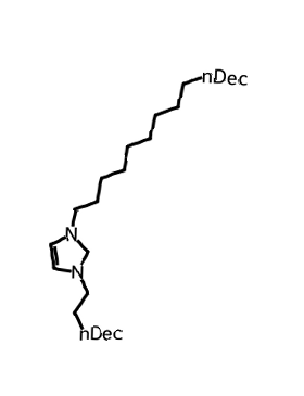 CCCCCCCCCCCCCCCCCCCN1C=CN(CCCCCCCCCCCC)C1